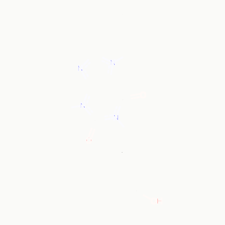 Cn1c(=O)n(CC2(C)CCC(C)(O)CC2)c(=O)c2c1ncn2CC1CC1